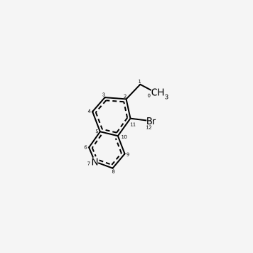 CCc1ccc2cnccc2c1Br